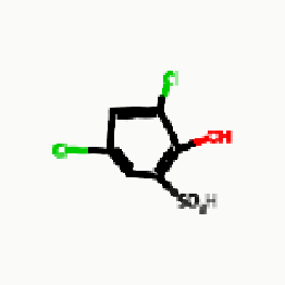 O=S(=O)(O)c1cc(Cl)cc(Cl)c1O